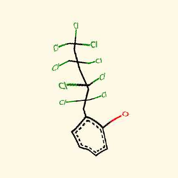 [O]c1ccccc1C(Cl)(Cl)C(Cl)(Cl)C(Cl)(Cl)C(Cl)(Cl)Cl